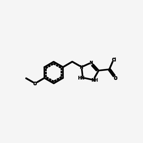 COc1ccc(CN2N=C(C(=O)Cl)NN2)cc1